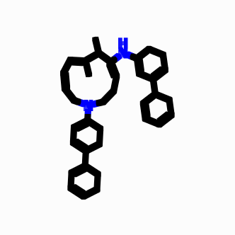 C/C1=C\C=C/CN(C2=CC=C(C3=CC=CCC3)CC2)CC/C=C(/NC2=CC(C3C=CC=CC3)=CCC2)C1C